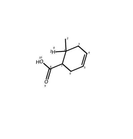 [2H]C1(C)CC=CCC1C(=O)O